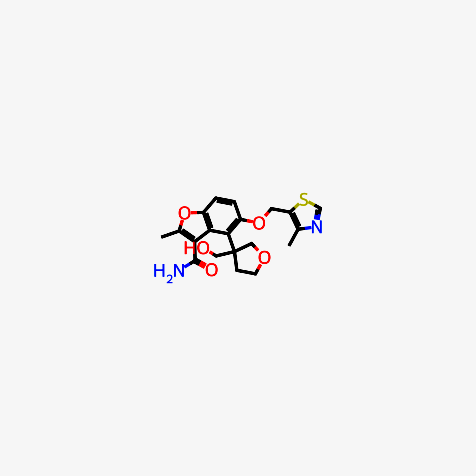 Cc1ncsc1COc1ccc2oc(C)c(C(N)=O)c2c1C1(CO)CCOC1